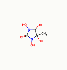 CC1(O)C(O)N(O)C(=O)N1O